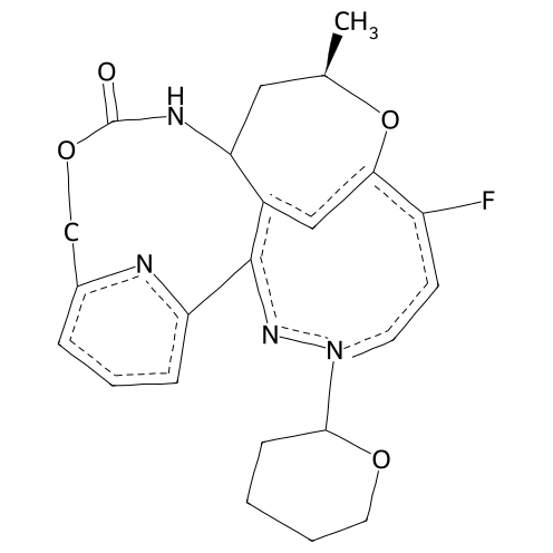 C[C@@H]1CC2NC(=O)OCc3cccc(n3)-c3nn(C4CCCCO4)ccc(F)c(cc32)O1